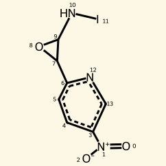 O=[N+]([O-])c1ccc(C2OC2NI)nc1